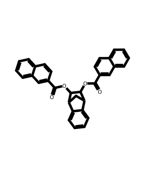 O=C(OC1C2CC(c3ccccc32)C1OC(=O)c1ccc2ccccc2c1)c1ccc2ccccc2c1